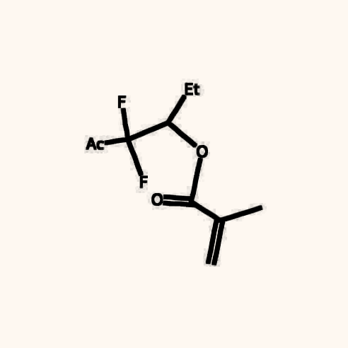 C=C(C)C(=O)OC(CC)C(F)(F)C(C)=O